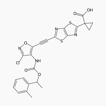 Cc1ccccc1C(C)OC(=O)Nc1c(Cl)noc1C#Cc1nc2sc(C3(C(=O)O)CC3)nc2s1